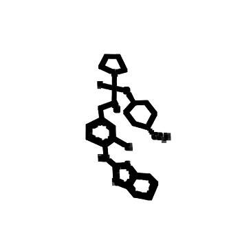 O=C(Cc1ccc(Nc2nc3ccccc3s2)c(Cl)c1)C(F)(O[C@H]1CC[C@H](C(=O)O)CC1)N1CCCC1